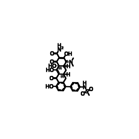 CN(C)[C@H]1C(O)=C(C(N)=O)C(=O)[C@]2(O)C(O)=C3C(=O)c4c(O)ccc(-c5ccc(NS(C)(=O)=O)cc5)c4C[C@H]3C[C@@H]12